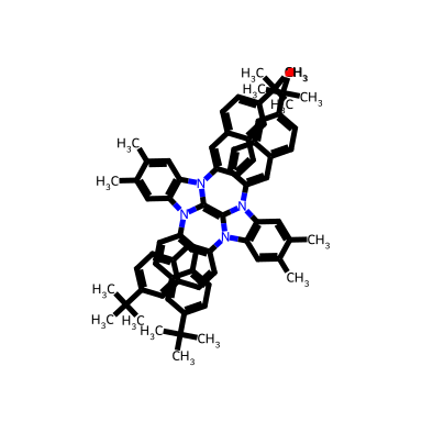 Cc1cc2c(cc1C)N(c1ccc3cc(C(C)(C)C)ccc3c1)C(=C1N(c3ccc4cc(C(C)(C)C)ccc4c3)c3cc(C)c(C)cc3N1c1ccc3cc(C(C)(C)C)ccc3c1)N2c1ccc2cc(C(C)(C)C)ccc2c1